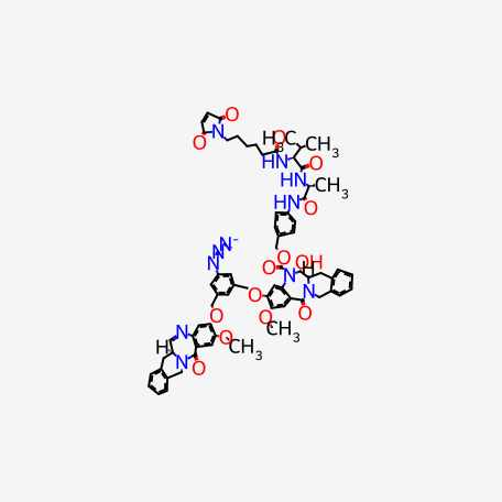 COc1cc2c(cc1OCc1cc(COc3cc4c(cc3OC)C(=O)N3Cc5ccccc5C[C@H]3C(O)N4C(=O)OCc3ccc(NC(=O)[C@H](C)NC(=O)[C@@H](NC(=O)CCCCCN4C(=O)C=CC4=O)C(C)C)cc3)cc(N=[N+]=[N-])c1)N=C[C@@H]1Cc3ccccc3CN1C2=O